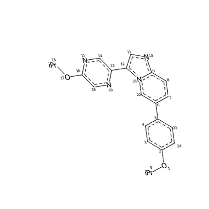 CC(C)Oc1ccc(-c2ccc3ncc(-c4cnc(OC(C)C)cn4)n3c2)cc1